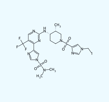 C[C@@H]1CN(S(=O)(=O)c2cn(CI)cn2)CC[C@@H]1Nc1ncc(C(F)(F)F)c(-c2cn(S(=O)(=O)N(C)C)cn2)n1